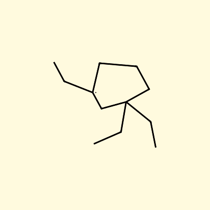 CC[C]1CCCC(CC)(CC)C1